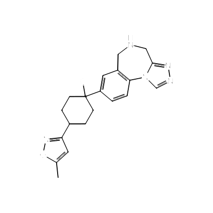 Cc1cc(C2CCC(Cl)(c3ccc4c(c3)CNCc3nncn3-4)CC2)no1